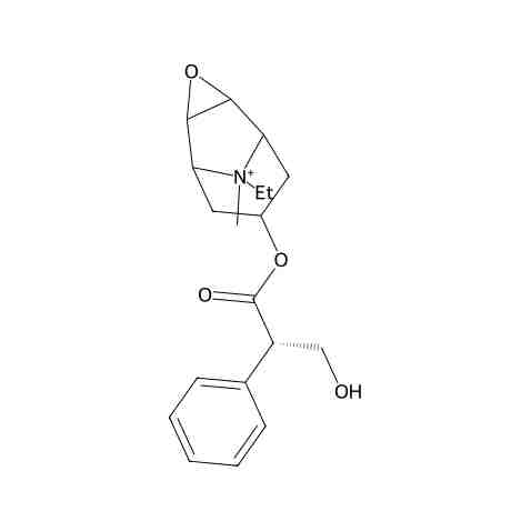 CC[N+]1(C)C2CC(OC(=O)[C@H](CO)c3ccccc3)CC1C1OC12